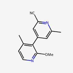 COc1nccc(C)c1-c1cc(C)nc(C#N)c1